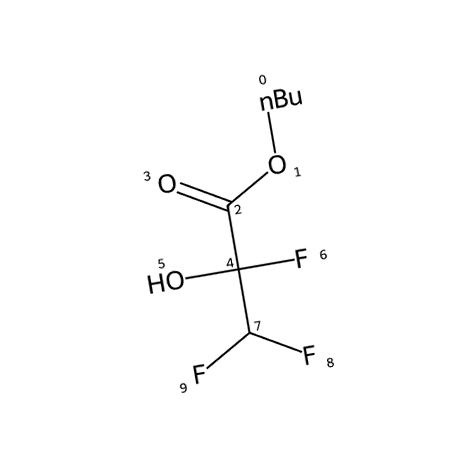 CCCCOC(=O)C(O)(F)C(F)F